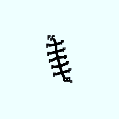 FC(F)(F)C(F)(F)C(F)(F)C(F)(F)C(F)(F)C(F)(F)C(Cl)(Cl)Cl